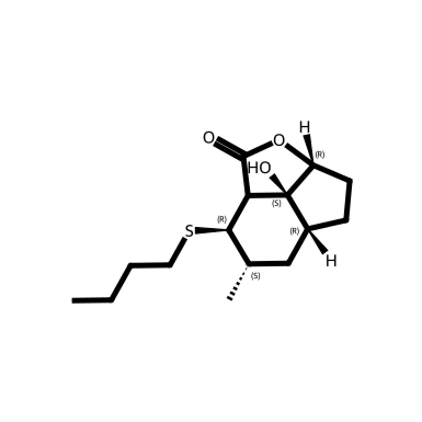 CCCCS[C@H]1C2C(=O)O[C@@H]3CC[C@H](C[C@@H]1C)[C@]23O